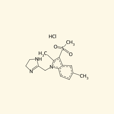 Cc1ccc2c(c1)c(S(C)(=O)=O)c(C)n2CC1=NCCN1.Cl